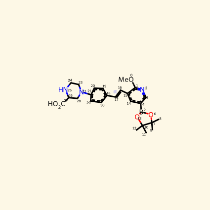 COc1ncc(B2OC(C)(C)C(C)(C)O2)cc1/C=C/c1ccc(N2CCNC(C(=O)O)C2)cc1